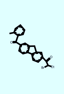 CCC(Br)C(=O)c1ccc2c(c1)Cc1cc(C(=O)c3ccccc3C)ccc1-2